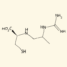 CC(CN[C@@H](CS)C(=O)O)NC(=N)N